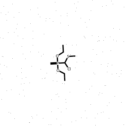 C=P(OCC)(OCC)C(Cl)SC